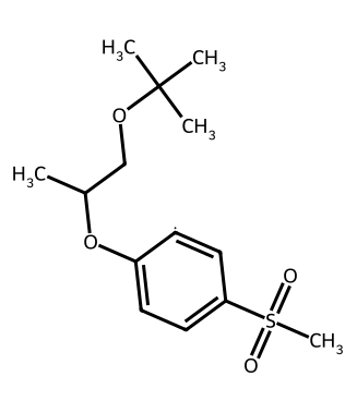 CC(COC(C)(C)C)Oc1[c]cc(S(C)(=O)=O)cc1